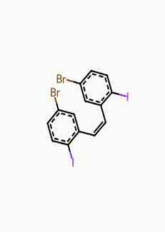 Brc1ccc(I)c(/C=C\c2cc(Br)ccc2I)c1